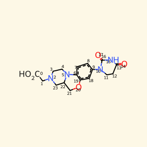 O=C(O)CN1CCN2c3ccc(N4CCC(=O)NC4=O)cc3OCC2C1